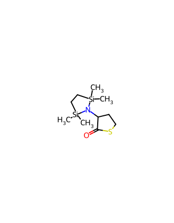 C[Si]1(C)CC[Si](C)(C)N1C1CCSC1=O